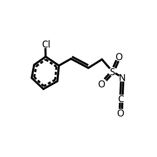 O=C=NS(=O)(=O)CC=Cc1ccccc1Cl